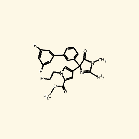 COC(=O)c1cc(C2(c3cccc(-c4cc(F)cc(F)c4)c3)N=C(N)N(C)C2=O)cn1CCF